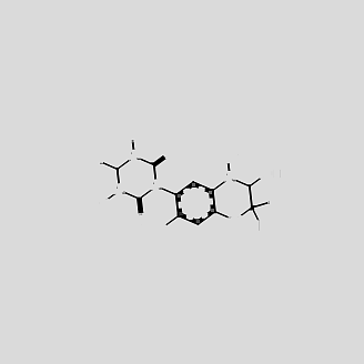 CCCN1c2cc(N3C(=O)N(C)C(S)N(C)C3=O)c(F)cc2OC(F)(F)C1O